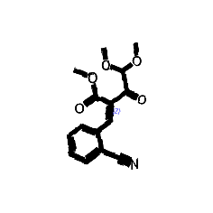 COC(=O)/C(=C\c1ccccc1C#N)C(=O)C(OC)OC